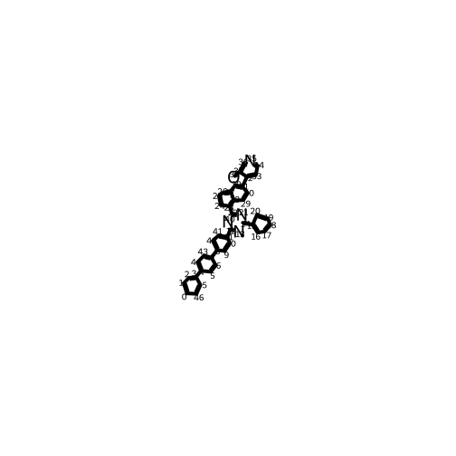 c1ccc(-c2ccc(-c3ccc(-c4nc(-c5ccccc5)nc(-c5cccc6c5ccc5c7ccncc7oc65)n4)cc3)cc2)cc1